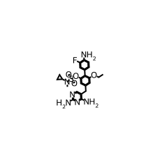 CCOc1cc(Cc2cnc(N)nc2N)cc(OS(=O)(=O)N(C)C2CC2)c1-c1ccc(N)c(F)c1